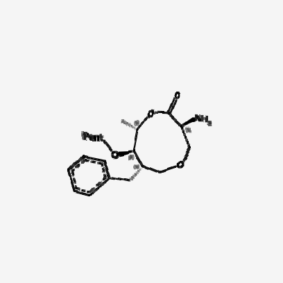 CCCC(C)O[C@@H]1[C@@H](Cc2ccccc2)COC[C@H](N)C(=O)O[C@H]1C